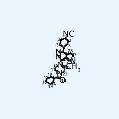 [C-]#[N+]c1ccc(-c2nnc(N3CCN(C(=O)c4ccccc4)C[C@H]3C)c3cnccc23)cc1